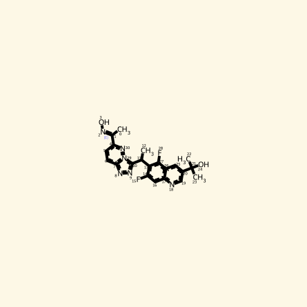 C/C(=N\O)c1ccc2nnc(C(C)c3c(F)cc4ncc(C(C)(C)O)cc4c3F)n2n1